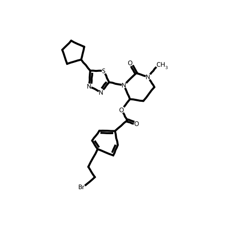 CN1CCC(OC(=O)c2ccc(CCBr)cc2)N(c2nnc(C3CCCC3)s2)C1=O